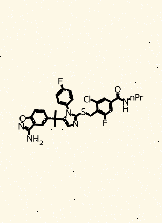 CCCNC(=O)c1cc(F)c(CSc2ncc(C(C)(C)c3ccc4onc(N)c4c3)n2-c2ccc(F)cc2)c(Cl)c1